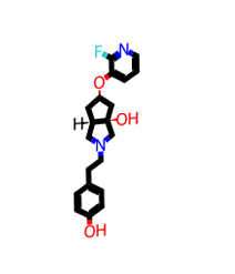 Oc1ccc(CCN2C[C@H]3C[C@H](Oc4cccnc4F)C[C@@]3(O)C2)cc1